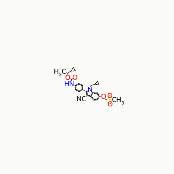 C[C@@H](OC(=O)Nc1ccc(-c2c(C#N)c3ccc(OCS(C)(=O)=O)cc3n2CC2CC2)cc1)C1CC1